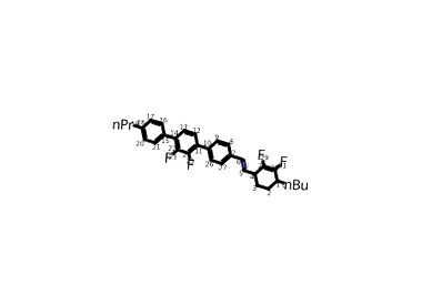 CCCCC1CCC(/C=C/c2ccc(-c3ccc(-c4ccc(CCC)cc4)c(F)c3F)cc2)C(F)=C1F